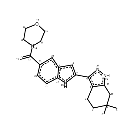 CC1(C)CCc2c(-c3cc4cc(C(=O)N5CCOCC5)ccc4[nH]3)n[nH]c2C1